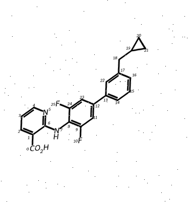 O=C(O)c1cccnc1Nc1c(F)cc(-c2cccc(CC3CC3)c2)cc1F